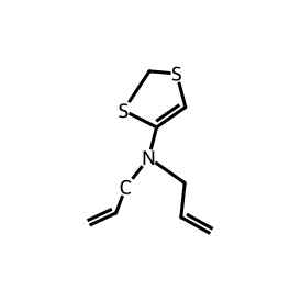 C=CCN(CC=C)C1=CSCS1